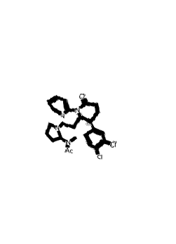 CC(=O)N(C)C1CCCN1CCC1[C@H](c2ccc(Cl)c(Cl)c2)CCC(=O)N1c1ccccn1